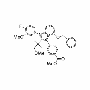 COCC(C)(C)c1c(-c2ccc(C(=O)OC)cc2)c2c(OCc3ccccc3)cccc2n1-c1ccc(F)c(OC)c1